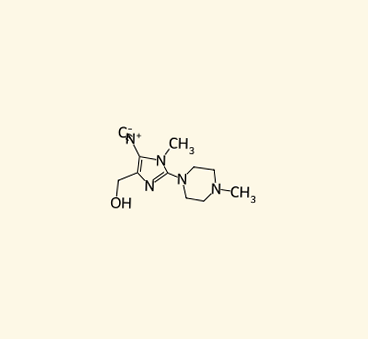 [C-]#[N+]c1c(CO)nc(N2CCN(C)CC2)n1C